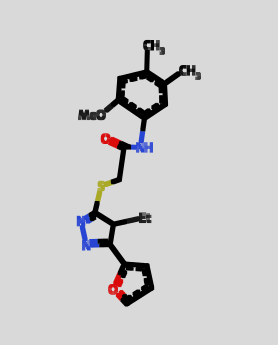 CCC1C(SCC(=O)Nc2cc(C)c(C)cc2OC)=NN=C1c1ccco1